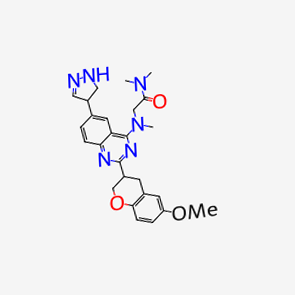 COc1ccc2c(c1)CC(c1nc(N(C)CC(=O)N(C)C)c3cc(C4C=NNC4)ccc3n1)CO2